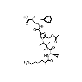 CNCCCC[C@@H](C)C(=O)N[C@H](C(=O)N(C)[C@H](C[C@@H](OC(C)=O)c1nc(C(=O)N[C@@H](Cc2ccccc2)C[C@H](C)C(=O)O)cs1)C(C)C)C1CC1